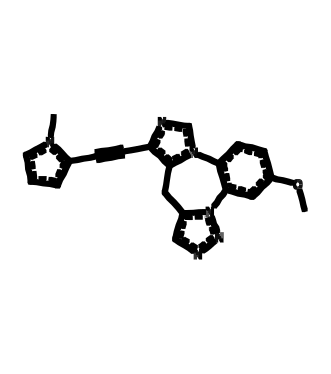 COc1ccc2c(c1)-n1nncc1Cc1c(C#Cc3cccn3C)ncn1-2